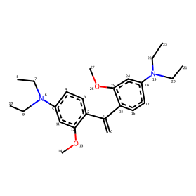 C=C(c1ccc(N(CC)CC)cc1OC)c1ccc(N(CC)CC)cc1OC